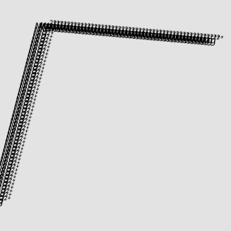 [Mg+2].[Mg+2].[Mg+2].[Mg+2].[Mg+2].[Mg+2].[Mg+2].[Mg+2].[Mg+2].[Mg+2].[Mg+2].[Mg+2].[Mg+2].[Mg+2].[Mg+2].[Mg+2].[Mg+2].[Mg+2].[Mg+2].[Mg+2].[Mg+2].[Mg+2].[Mg+2].[Mg+2].[Mg+2].[Mg+2].[Mg+2].[Mg+2].[Mg+2].[Mg+2].[Mg+2].[Mg+2].[Mg+2].[Mg+2].[Mg+2].[Mg+2].[Mg+2].[Mg+2].[Mg+2].[Mg+2].[Mg+2].[Mg+2].[Mg+2].[Mg+2].[Mg+2].[Mg+2].[Mg+2].[Mg+2].[Mg+2].[Mg+2].[Mg+2].[Mg+2].[Mg+2].[Mg+2].[Mg+2].[Mg+2].[Mg+2].[Mg+2].[Mg+2].[Mg+2].[Mg+2].[Mg+2].[Mg+2].[Mg+2].[Mg+2].[Mg+2].[Mg+2].[Mg+2].[Mg+2].[Mg+2].[Mg+2].[Mg+2].[Mg+2].[Mg+2].[Mg+2].[Mg+2].[Mg+2].[Mg+2].[Mg+2].[Mg+2].[Mg+2].[Mg+2].[Mg+2].[Mg+2].[Mg+2].[Mg+2].[Mg+2].[Mg+2].[Mg+2].[Mg+2].[Mg+2].[Mg+2].[Mg+2].[Mg+2].[Mg+2].[Mg+2].[Mg+2].[Mg+2].[Mg+2].[Mg+2]